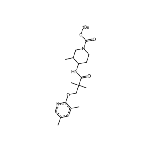 Cc1cnc(OCC(C)(C)C(=O)NC2CCN(C(=O)OC(C)(C)C)CC2C)c(C)c1